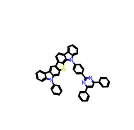 c1ccc(-c2cc(-c3ccccc3)nc(-c3ccc(-n4c5ccccc5c5ccc6c7cc8c9ccccc9n(-c9ccccc9)c8cc7sc6c54)cc3)n2)cc1